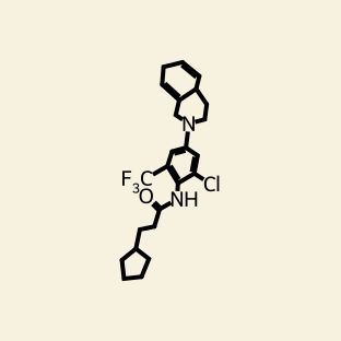 O=C(CCC1CCCC1)Nc1c(Cl)cc(N2CCC3C=CCC=C3C2)cc1C(F)(F)F